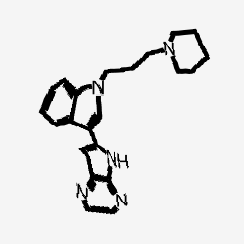 c1ccc2c(c1)c(-c1cc3nccnc3[nH]1)cn2CCCN1CCCCC1